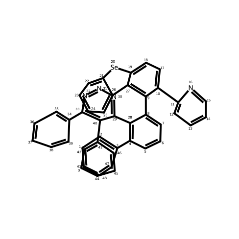 c1ccc(-c2cccc(-c3c(-c4ccccn4)ccc4[se]c5ccccc5c34)c2-c2nnnc(-c3ccccc3)c2-c2ccccc2)cc1